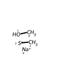 CO.C[S-].[Na+]